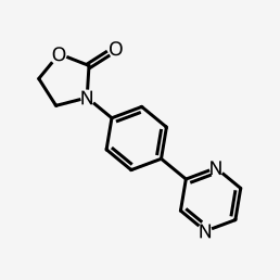 O=C1OCCN1c1ccc(-c2cnccn2)cc1